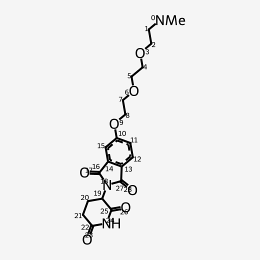 CNCCOCCOCCOc1ccc2c(c1)C(=O)N(C1CCC(=O)NC1=O)C2=O